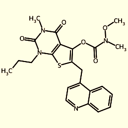 CCCn1c(=O)n(C)c(=O)c2c(OC(=O)N(C)OC)c(Cc3ccnc4ccccc34)sc21